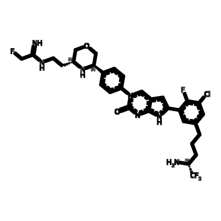 N=C(CF)NCC[C@@H]1COC[C@@H](c2ccc(-n3cc4cc(-c5cc(CCC[C@@H](N)C(F)(F)F)cc(Cl)c5F)[nH]c4nc3=O)cc2)N1